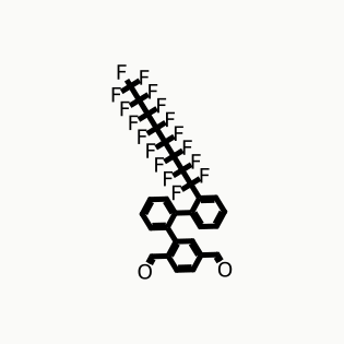 O=Cc1ccc(C=O)c(-c2ccccc2-c2ccccc2C(F)(F)C(F)(F)C(F)(F)C(F)(F)C(F)(F)C(F)(F)C(F)(F)C(F)(F)F)c1